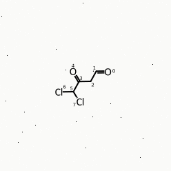 O=[C]CC(=O)C(Cl)Cl